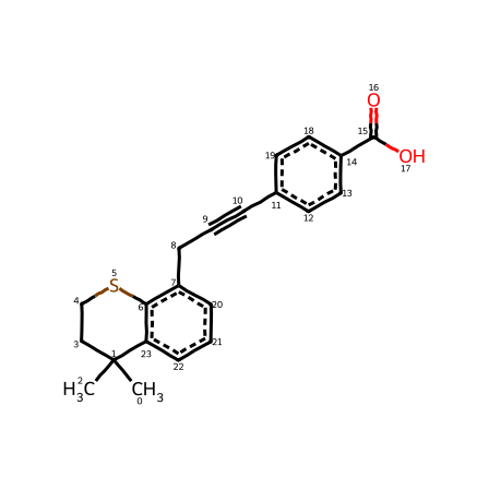 CC1(C)CCSc2c(CC#Cc3ccc(C(=O)O)cc3)cccc21